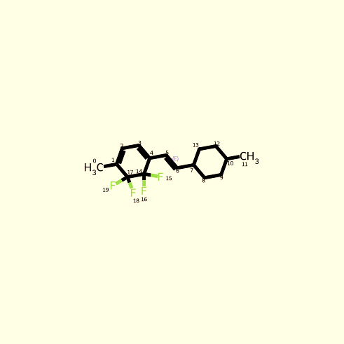 CC1=CC=C(/C=C/C2CCC(C)CC2)C(F)(F)C1(F)F